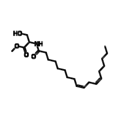 CCCCC/C=C\C/C=C\CCCCCCCC(=O)NC(CO)C(=O)OC